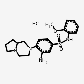 COc1ccccc1NS(=O)(=O)c1ccc(N2CCN3CCCC3C2)c(N)c1.Cl